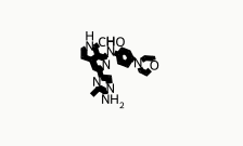 Cc1nc(-c2cc3c(c(Nc4ccc(N5CCOCC5)cc4)n2)C(C=O)NC=C3)cnc1N